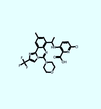 Cc1cc(C(C)Nc2ccc(Cl)nc2C(=O)O)c2nc(N3CCOCC3)n3cc(C(F)(F)F)nc3c2c1